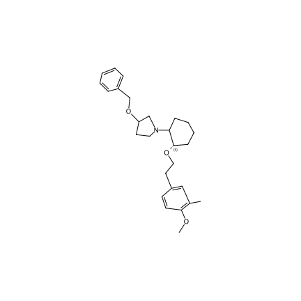 COc1ccc(CCO[C@H]2CCCCC2N2CCC(OCc3ccccc3)C2)cc1C